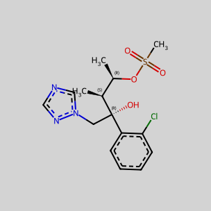 C[C@@H](OS(C)(=O)=O)[C@H](C)[C@](O)(Cn1cncn1)c1ccccc1Cl